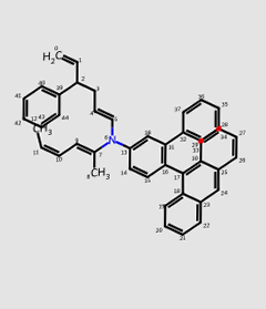 C=CC(C/C=C/N(/C(C)=C/C=C\C)c1ccc(-c2c3ccccc3cc3ccccc23)c(-c2ccccc2)c1)c1ccccc1